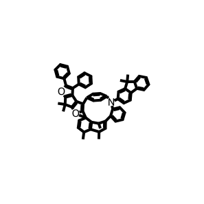 CC1C=CC2(C)C3=C1C(C)C=C(c1ccccc1N(c1ccc4c(c1)C(C)(C)c1ccccc1-4)c1ccc(cc1)-c1c2oc2c1-c1c(oc(-c4ccccc4)c1-c1ccccc1)C2(C)C)C3C